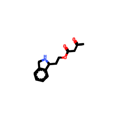 CC(=O)CC(=O)OCCC1NCc2ccccc21